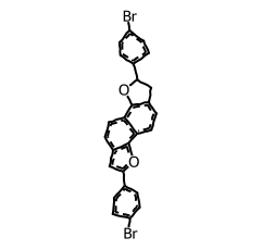 Brc1ccc(-c2cc3ccc4c5c(ccc4c3o2)CC(c2ccc(Br)cc2)O5)cc1